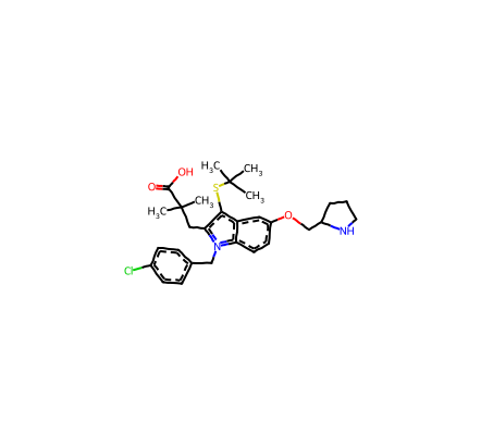 CC(C)(C)Sc1c(CC(C)(C)C(=O)O)n(Cc2ccc(Cl)cc2)c2ccc(OCC3CCCN3)cc12